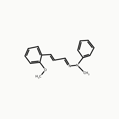 COc1ccccc1C=CC=NN(C)c1ccccc1